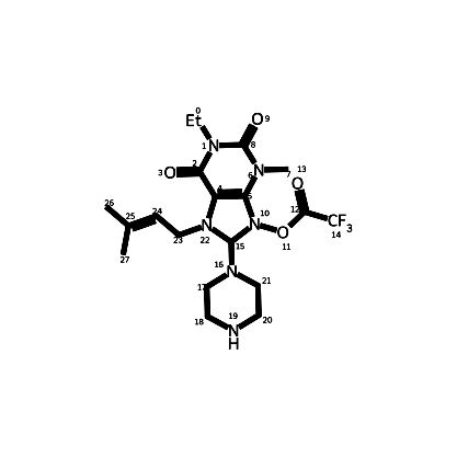 CCn1c(=O)c2c(n(C)c1=O)N(OC(=O)C(F)(F)F)C(N1CCNCC1)N2CC=C(C)C